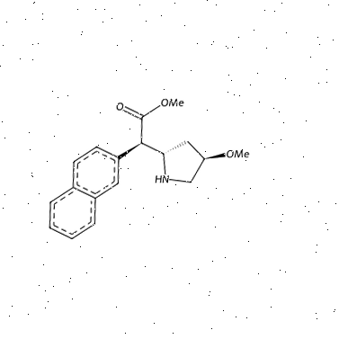 COC(=O)[C@H](c1ccc2ccccc2c1)[C@@H]1C[C@@H](OC)CN1